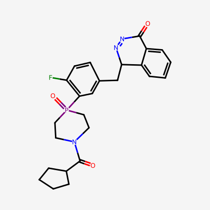 O=C1N=NC(Cc2ccc(F)c(P3(=O)CCN(C(=O)C4CCCC4)CC3)c2)c2ccccc21